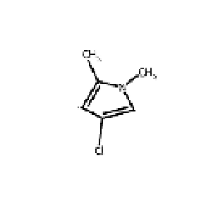 Cc1[c]c(Cl)cn1C